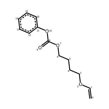 C=COCCCCOC(=O)Oc1ccccc1